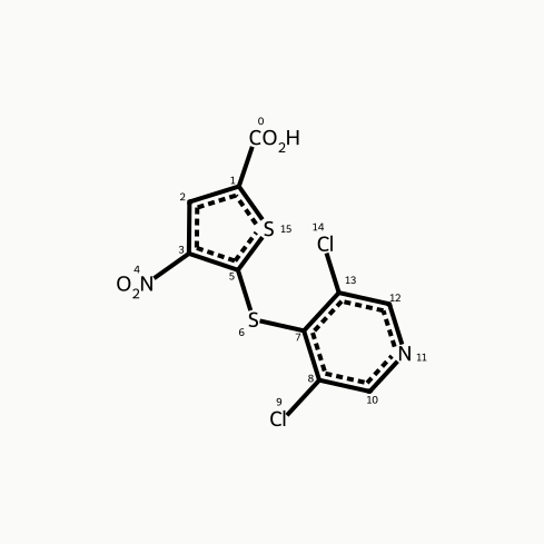 O=C(O)c1cc([N+](=O)[O-])c(Sc2c(Cl)cncc2Cl)s1